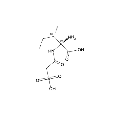 CC[C@H](C)[C@@](N)(NC(=O)CS(=O)(=O)O)C(=O)O